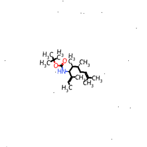 C/C=C(\C)[C@@H](NC(=O)OC(C)(C)C)[C@@H](C)[C@H](C)CC=C(C)C